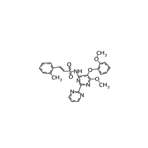 COc1ccccc1Oc1c(NS(=O)(=O)/C=C/c2ccccc2C)nc(-c2ncccn2)nc1OC